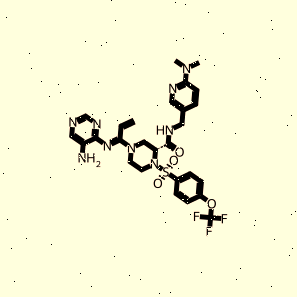 C=C/C(=N\c1ncncc1N)N1CCN(S(=O)(=O)c2ccc(OC(F)(F)F)cc2)[C@@H](C(=O)NCc2ccc(N(C)C)nc2)C1